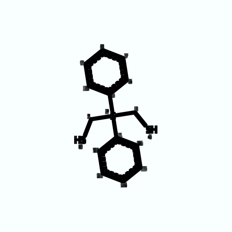 SCS(CS)(c1ccccc1)c1ccccc1